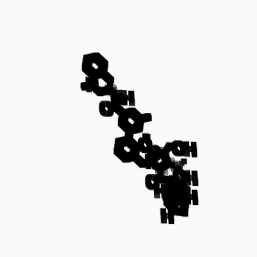 COc1c(CN2O[C@@H](CO)[C@H]([C@H](C)O)[C@H]2C(=O)N[C@H]2C[C@H]3C[C@@H]([C@@H]2C)C3(C)C)cccc1-c1cc(C)cc(C(=O)N[C@H](Cc2ccccc2)CN(C)C)c1